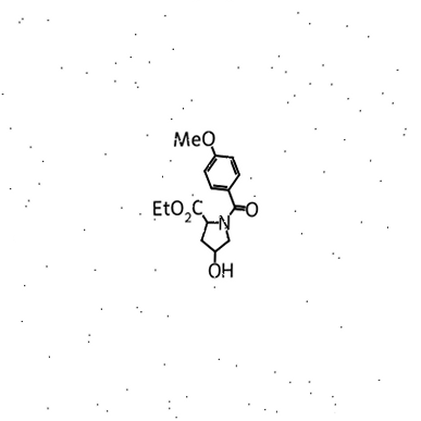 CCOC(=O)C1CC(O)CN1C(=O)c1ccc(OC)cc1